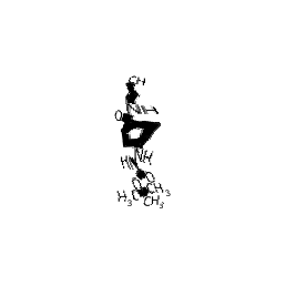 C#CCCNC(=O)c1ccc(NNC(=O)OC(C)(C)C)cc1